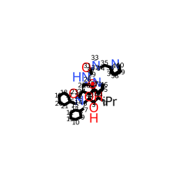 CC(C)C[C@H](O)[C@H](O)[C@H](CC1CCCCC1)N(CC1CCCCC1)C(=O)[C@@H](CC(=O)NCC(=O)N(C)CCc1ccccn1)Cc1cccnc1